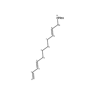 C=CC=CCCCCC=CCCCCCCC